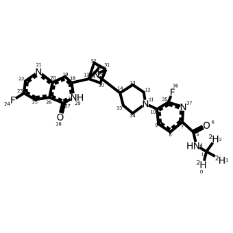 [2H]C([2H])([2H])NC(=O)c1ccc(N2CCC(N3CC4(c5cc6ncc(F)cc6c(=O)[nH]5)CC3C4)CC2)c(F)n1